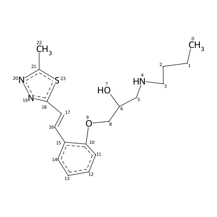 CCCCNCC(O)COc1ccccc1C=Cc1nnc(C)s1